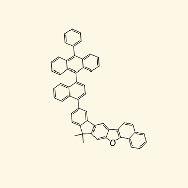 CC1(C)c2ccc(-c3ccc(-c4c5ccccc5c(-c5ccccc5)c5ccccc45)c4ccccc34)cc2-c2cc3c(cc21)oc1c2ccccc2ccc31